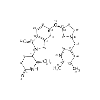 C=C1NC(=O)CCC1N1Cc2cc(O[C@H]3CCN(Cc4cnc(C)c(C)c4)C3)ccc2C1=O